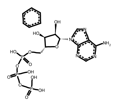 Nc1ncnc2c1ncn2[C@@H]1O[C@H](COP(=O)(O)OP(=O)(O)OP(=O)(O)O)[C@@H](O)[C@H]1O.c1ccccc1